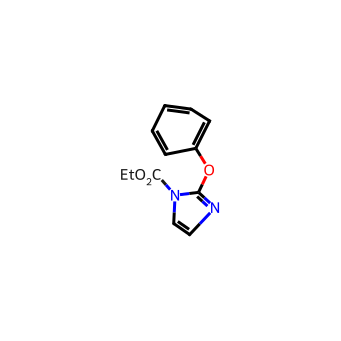 CCOC(=O)n1ccnc1Oc1ccccc1